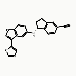 N#Cc1ccc2c(c1)CC[C@H]2Nc1cc2c(-c3cnco3)n[nH]c2cn1